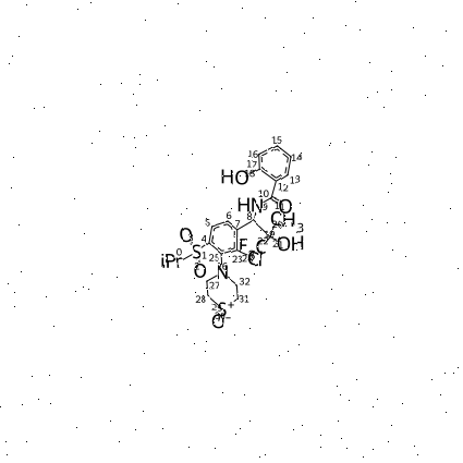 CC(C)S(=O)(=O)c1ccc(C(NC(=O)c2ccccc2O)C(C)(O)C(F)(F)F)c(Cl)c1N1CC[S+]([O-])CC1